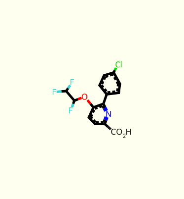 O=C(O)c1ccc(OC(F)C(F)F)c(-c2ccc(Cl)cc2)n1